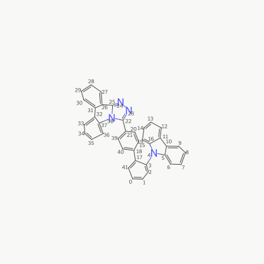 c1ccc(-n2c3ccccc3c3ccccc32)c(-c2ccc(-c3nnc4c5ccccc5c5ccccc5n34)cc2)c1